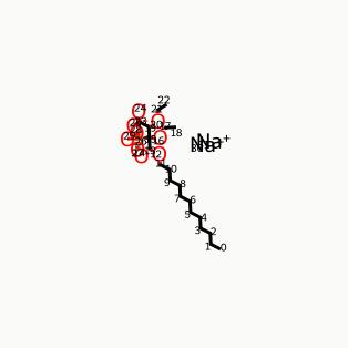 CCCCCCCCCCCCOC(=O)C(OCC)(C(OCC)C(=O)[O-])S(=O)(=O)[O-].[Na+].[Na+]